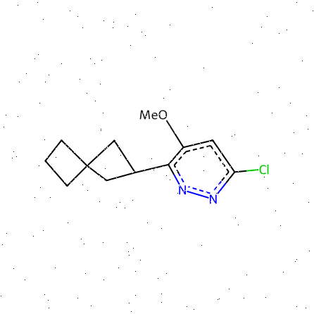 COc1cc(Cl)nnc1C1CC2(CCC2)C1